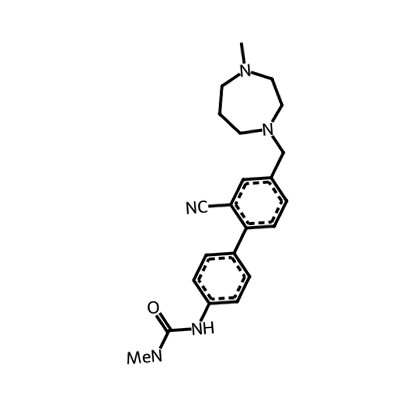 CNC(=O)Nc1ccc(-c2ccc(CN3CCCN(C)CC3)cc2C#N)cc1